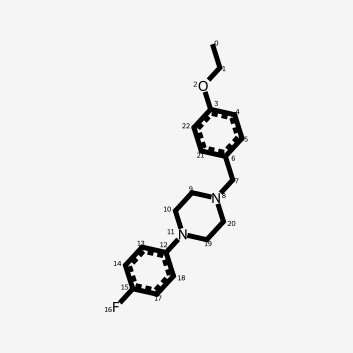 CCOc1ccc(CN2CCN(c3ccc(F)cc3)CC2)cc1